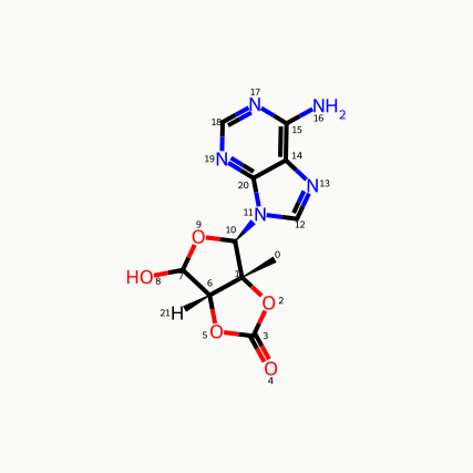 C[C@@]12OC(=O)O[C@@H]1C(O)O[C@H]2n1cnc2c(N)ncnc21